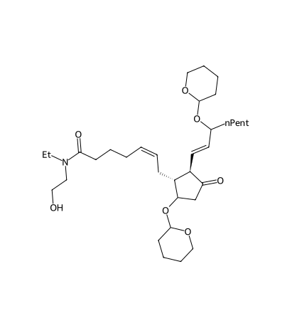 CCCCCC(/C=C/[C@H]1C(=O)CC(OC2CCCCO2)[C@@H]1C/C=C\CCCC(=O)N(CC)CCO)OC1CCCCO1